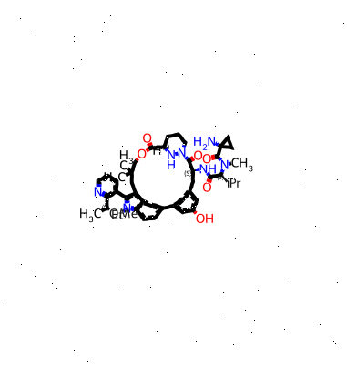 CCn1c(-c2cccnc2[C@H](C)OC)c2c3cc(ccc31)-c1cc(O)cc(c1)C[C@H](NC(=O)[C@H](C(C)C)N(C)C(=O)C1(N)CC1)C(=O)N1CCC[C@H](N1)C(=O)OCC(C)(C)C2